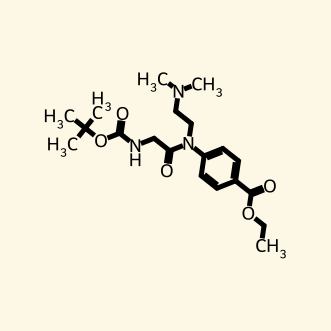 CCOC(=O)c1ccc(N(CCN(C)C)C(=O)CNC(=O)OC(C)(C)C)cc1